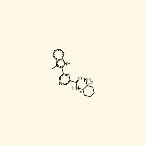 Cc1c(-c2cncc(C(=O)N[C@@H]3CCCC[C@@H]3N)n2)[nH]c2ccccc12